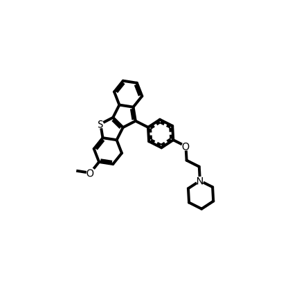 COC1=CCC2C(=C1)SC1=C2C(c2ccc(OCCN3CCCCC3)cc2)=C2C=CC=CC21